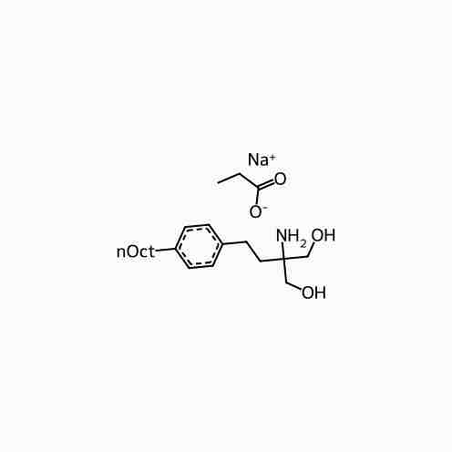 CCC(=O)[O-].CCCCCCCCc1ccc(CCC(N)(CO)CO)cc1.[Na+]